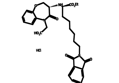 CCOC(=O)[C@@H](CCCCCCN1C(=O)c2ccccc2C1=O)N[C@H]1COc2ccccc2N(CC(=O)O)C1=O.Cl